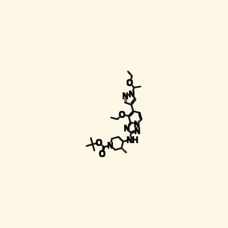 CCOc1c(-c2cnn(C(C)OCC)c2)ccn2nc(NC3CCN(C(=O)OC(C)(C)C)CC3C)nc12